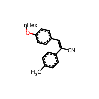 CCCCCCOc1ccc(C=C(C#N)c2ccc(C)cc2)cc1